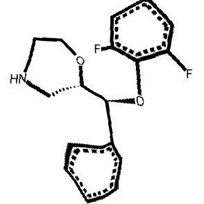 Fc1cccc(F)c1O[C@@H](c1ccccc1)[C@@H]1CNCCO1